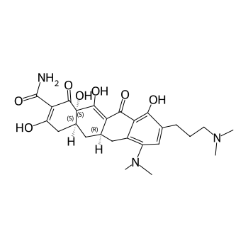 CN(C)CCCc1cc(N(C)C)c2c(c1O)C(=O)C1=C(O)[C@]3(O)C(=O)C(C(N)=O)=C(O)C[C@@H]3C[C@@H]1C2